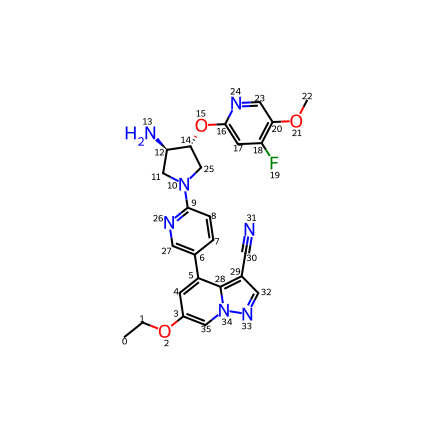 CCOc1cc(-c2ccc(N3C[C@@H](N)[C@H](Oc4cc(F)c(OC)cn4)C3)nc2)c2c(C#N)cnn2c1